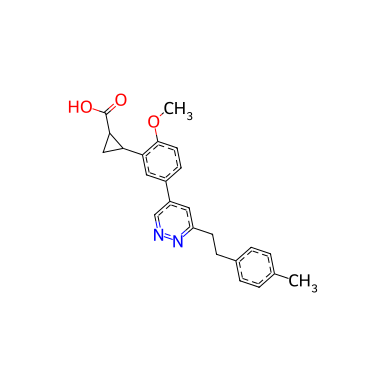 COc1ccc(-c2cnnc(CCc3ccc(C)cc3)c2)cc1C1CC1C(=O)O